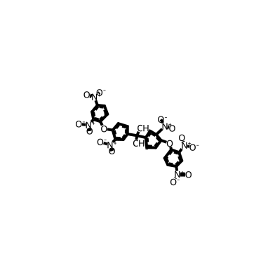 CC(C)(c1ccc(Oc2ccc([N+](=O)[O-])cc2[N+](=O)[O-])c([N+](=O)[O-])c1)c1ccc(Oc2ccc([N+](=O)[O-])cc2[N+](=O)[O-])c([N+](=O)[O-])c1